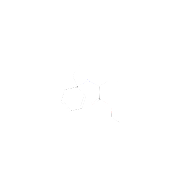 CCOC(=O)C(C)NC1(CC)C=CC=CC1